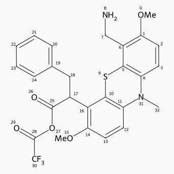 COc1ccc2c(c1CN)Sc1c(ccc(OC)c1C(Cc1ccccc1)C(=O)OC(=O)C(F)(F)F)N2C